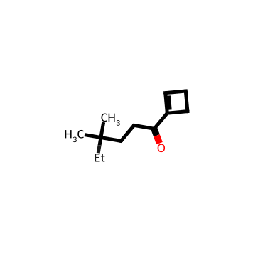 CCC(C)(C)CCC(=O)C1=CCC1